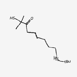 CC(C)(C)NCCCCCCC(=O)C(C)(C)S